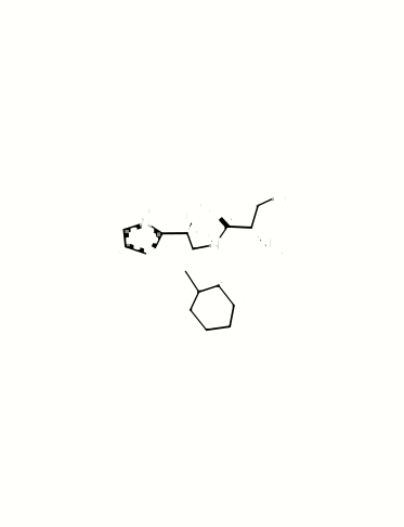 CC(C)C[C@H](N)C(=O)N[C@H](CC1CCCCC1)[C@H](O)c1nccs1